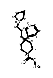 CC(C)(C)OC(=O)N1CCC(CCCN2CCCC2)(c2cccnc2)CC1